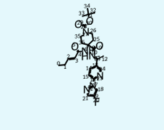 CCC=CC(=O)NC1(C(=O)N[C@@H](C)c2ccc(-n3cc(F)cn3)nc2)CCN(C(=O)OC(C)(C)C)CC1